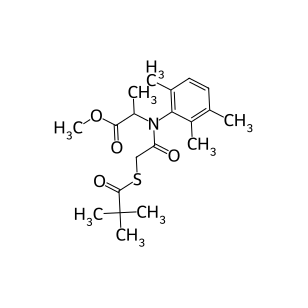 COC(=O)C(C)N(C(=O)CSC(=O)C(C)(C)C)c1c(C)ccc(C)c1C